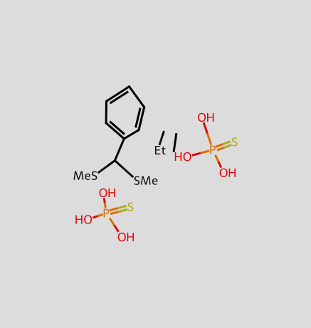 CC.CCC.CSC(SC)c1ccccc1.OP(O)(O)=S.OP(O)(O)=S